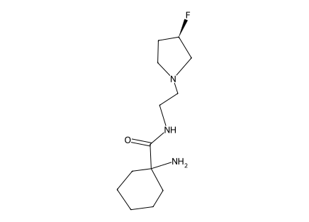 NC1(C(=O)NCCN2CC[C@@H](F)C2)CCCCC1